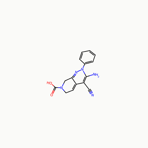 N#CC1=C(N)N(c2ccccc2)N=C2CN(C(=O)O)CC=C21